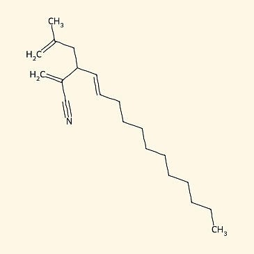 C=C(C)CC(/C=C/CCCCCCCCCC)C(=C)C#N